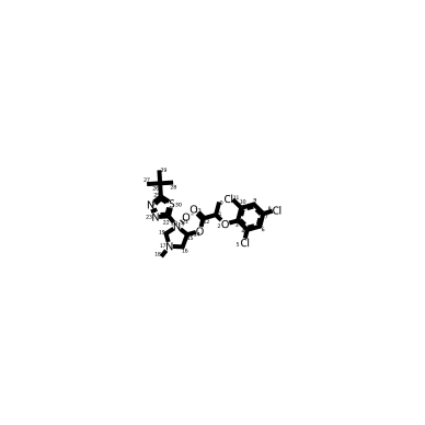 CC(Oc1c(Cl)cc(Cl)cc1Cl)C(=O)OC1CN(C)C[N+]1([O-])c1nnc(C(C)(C)C)s1